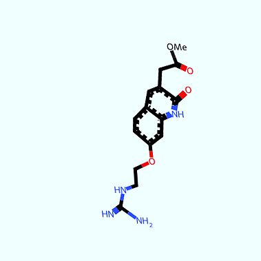 COC(=O)Cc1cc2ccc(OCCNC(=N)N)cc2[nH]c1=O